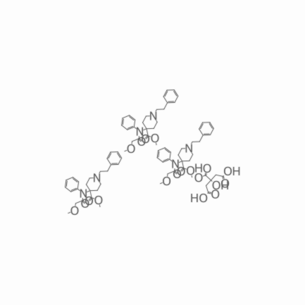 COCC(=O)N(c1ccccc1)C1(C(=O)OC)CCN(CCc2ccccc2)CC1.COCC(=O)N(c1ccccc1)C1(C(=O)OC)CCN(CCc2ccccc2)CC1.COCC(=O)N(c1ccccc1)C1(C(=O)OC)CCN(CCc2ccccc2)CC1.O=C(O)CC(O)(CC(=O)O)C(=O)O